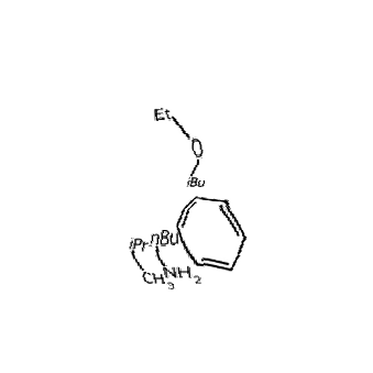 CCCCN.CCOC(C)CC.C[C](C)C.c1ccccc1